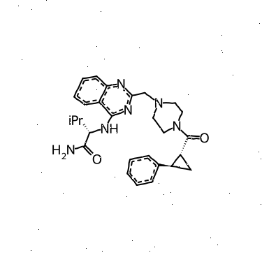 CC(C)[C@H](Nc1nc(CN2CCN(C(=O)[C@@H]3C[C@H]3c3ccccc3)CC2)nc2ccccc12)C(N)=O